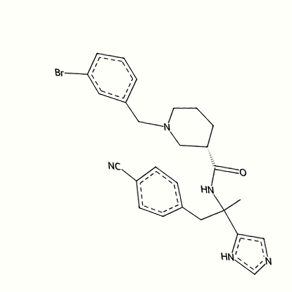 CC(Cc1ccc(C#N)cc1)(NC(=O)[C@H]1CCCN(Cc2cccc(Br)c2)C1)c1cnc[nH]1